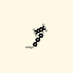 CCCCCCCc1ccc(-c2ccc(-c3ccc(Oc4c5cc6c(=O)oc(=O)c6cc5cc5c(=O)oc(=O)c45)cc3)cc2)cc1